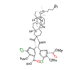 C=C(Cc1cc(Cl)c(OC)c(C(=O)OC)c1)C1(C(=C)Cc2cc(Cl)c(OC)c(C(=O)OC)c2)CC[C@@]2(C)[C@@H](CC[C@@H]3[C@@H]2CC[C@]2(C)[C@@H]([C@H](C)CCCC(C)C)CC[C@@H]32)C1